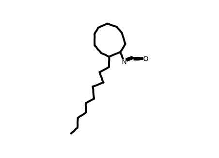 CCCCCCCCCCC1CCCCCCCCC1N=C=O